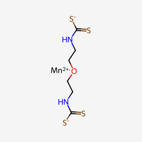 S=C([S-])NCCOCCNC(=S)[S-].[Mn+2]